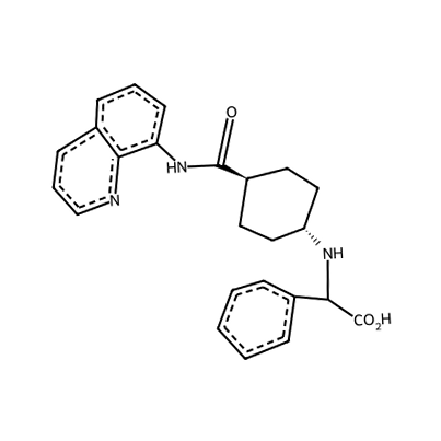 O=C(O)C(N[C@H]1CC[C@H](C(=O)Nc2cccc3cccnc23)CC1)c1ccccc1